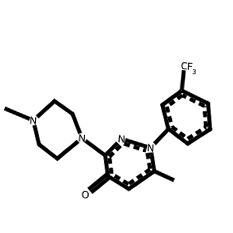 Cc1cc(=O)c(N2CCN(C)CC2)nn1-c1cccc(C(F)(F)F)c1